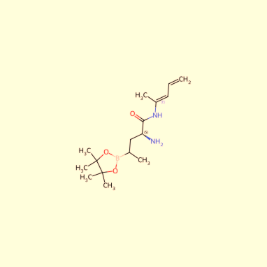 C=C/C=C(\C)NC(=O)[C@@H](N)CC(C)B1OC(C)(C)C(C)(C)O1